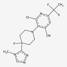 Cn1cnnc1C1(F)CCN(c2c(C#N)cc(C(C)(F)F)nc2Cl)CC1